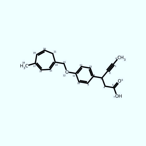 CC#CC(CC(=O)O)c1ccc(OCC2=CC=C(C)C=CC2)cc1